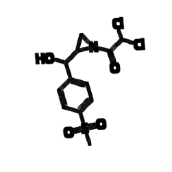 CS(=O)(=O)c1ccc(C(O)C2CN2C(=O)C(Cl)Cl)cc1